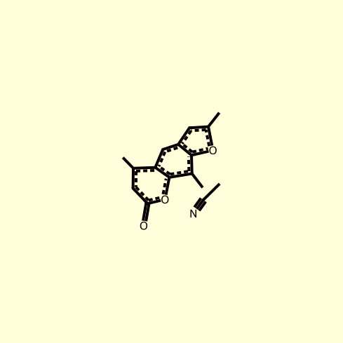 CC#N.Cc1cc2cc3c(C)cc(=O)oc3c(C)c2o1